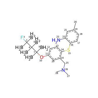 BC(B)(F)C(B)(B)C(B)(B)Oc1ccc(Sc2ccc(C)cc2N)c(CN(C)C)c1